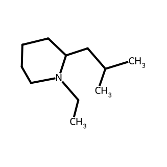 CCN1CCCCC1CC(C)C